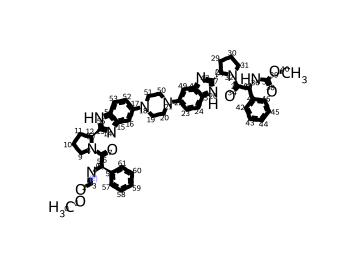 COO/C=N/[C@@H](C(=O)N1CCC[C@H]1c1nc2cc(N3CCN(c4ccc5[nH]c([C@@H]6CCCN6C(=O)[C@@H](NC(=O)OC)c6ccccc6)nc5c4)CC3)ccc2[nH]1)c1ccccc1